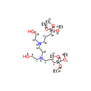 CCO[Si](CCCN(CCO)CCN(CCO)CCC[Si](OCC)(OCC)OCC)(OCC)OCC